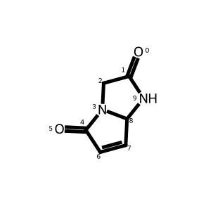 O=C1CN2C(=O)C=CC2N1